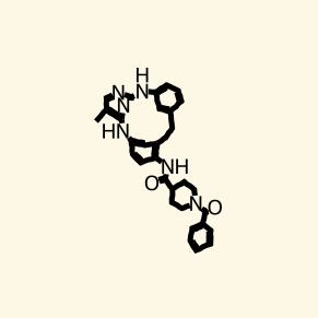 Cc1cnc2nc1Nc1ccc(NC(=O)C3CCN(C(=O)c4ccccc4)CC3)c(c1)CCc1cccc(c1)N2